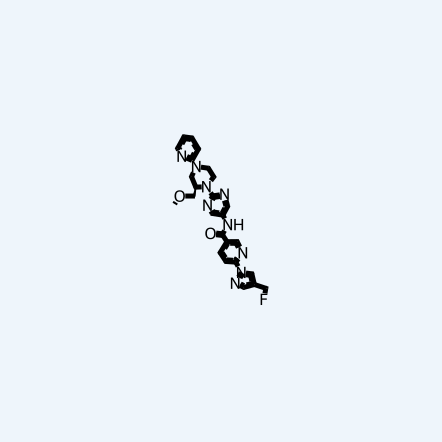 COC[C@H]1CN(c2ccccn2)CCN1c1ncc(NC(=O)c2ccc(-n3cc(CF)cn3)nc2)cn1